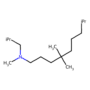 CC(C)CCCC(C)(C)CCCN(C)CC(C)C